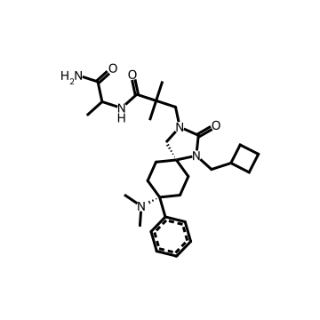 CC(NC(=O)C(C)(C)CN1C[C@]2(CC[C@@](c3ccccc3)(N(C)C)CC2)N(CC2CCC2)C1=O)C(N)=O